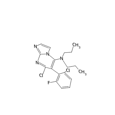 CCCN(CCC)c1c(-c2c(F)cccc2Cl)c(Cl)nc2nccn12